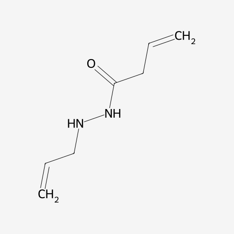 C=CCNNC(=O)CC=C